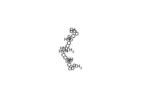 CN=C(Nc1ccc2ccc(NS(=O)(=O)c3ccc(Cl)c(C(=O)OC)c3)cc2c1)Nc1ccc2ccc(NS(=O)(=O)c3ccc(Cl)c(C(=O)OC)c3)cc2c1